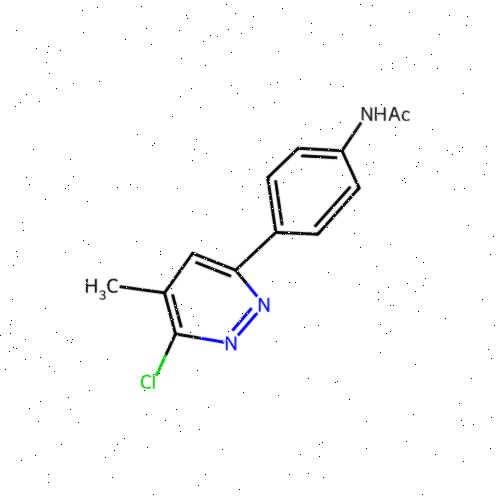 CC(=O)Nc1ccc(-c2cc(C)c(Cl)nn2)cc1